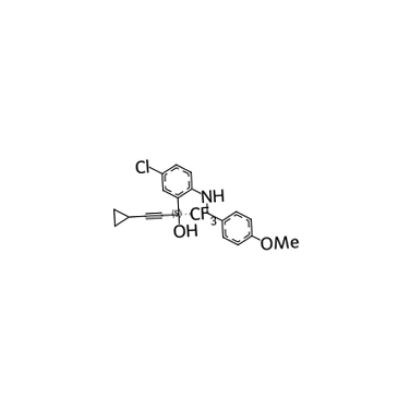 COc1ccc(CNc2ccc(Cl)cc2[C@@](O)(C#CC2CC2)C(F)(F)F)cc1